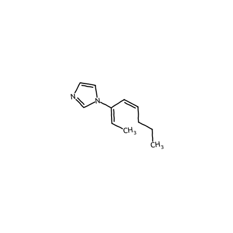 C/C=C(\C=C/CCC)n1ccnc1